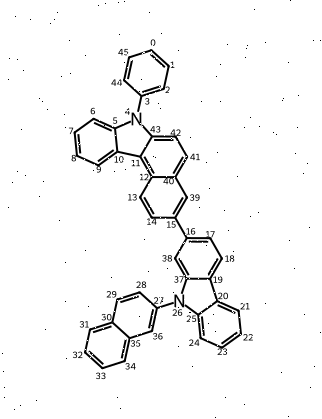 c1ccc(-n2c3ccccc3c3c4ccc(-c5ccc6c7ccccc7n(-c7ccc8ccccc8c7)c6c5)cc4ccc32)cc1